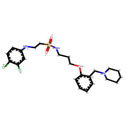 O=S(=O)(CCNc1ccc(Cl)c(Cl)c1)NCCCOc1ccccc1CN1CCCCC1